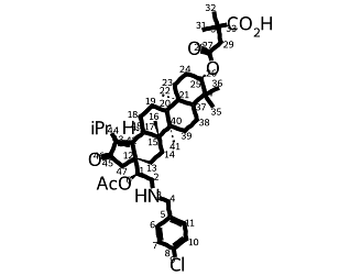 CC(=O)O[C@H](CNCc1ccc(Cl)cc1)[C@@]12CC[C@]3(C)[C@H](CCC4[C@@]5(C)CC[C@H](OC(=O)CC(C)(C)C(=O)O)C(C)(C)C5CC[C@]43C)C1=C(C(C)C)C(=O)C2